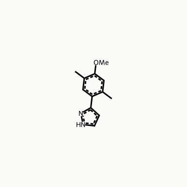 COc1cc(C)c(-c2cc[nH]n2)cc1C